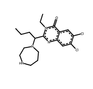 CCCC(c1nc2cc(Cl)c(Cl)cc2c(=O)n1CC)N1CCCNCC1